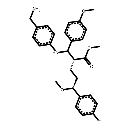 COC(=O)[C@H](CC[C@H](OC)c1ccc(F)cc1)C(Nc1ccc(CN)cc1)c1ccc(OC)cc1